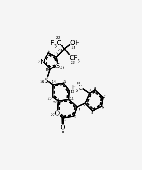 O=c1cc(-c2ccccc2C(F)(F)F)c2ccc(Sc3ncc(C(O)(C(F)(F)F)C(F)(F)F)s3)cc2o1